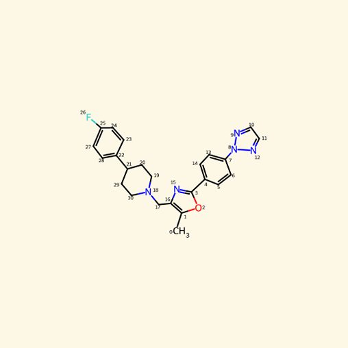 Cc1oc(-c2ccc(-n3nccn3)cc2)nc1CN1CCC(c2ccc(F)cc2)CC1